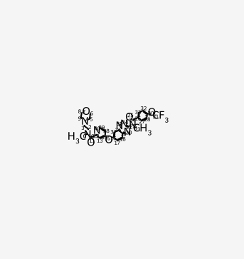 CN(CCN1CCOCC1)C(=O)c1cc(Oc2ccc3nc(N(C)C(=O)c4ccc(OC(F)(F)F)cc4)nnc3c2)ccn1